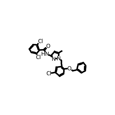 Cc1cc(NC(=O)c2c(Cl)cccc2Cl)nn1Cc1cc(Cl)ccc1OCc1ccccc1